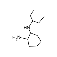 CCC(CC)NC1CCCCC1N